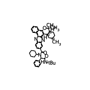 C[C@H]1CC[C@H]2[C@H](C1)c1c(c3ccccc3c3nc4ccc(C(=O)N(C5CCCCC5)C(C(=O)NC(C)(C)C)c5ccccc5)cc4nc13)OC2(C)C